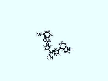 N#CCC(C1CCN(c2nc3cccc(C#N)c3o2)C1)n1cc(-c2ncnc3[nH]ccc23)cn1